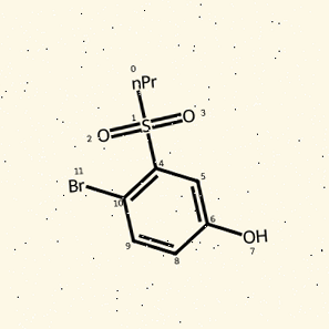 CCCS(=O)(=O)c1cc(O)ccc1Br